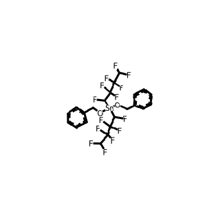 FC(F)C(F)(F)C(F)(F)[CH](F)[Sn]([O]Cc1ccccc1)([O]Cc1ccccc1)[CH](F)C(F)(F)C(F)(F)C(F)F